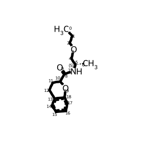 CCCOC[C@H](C)NC(=O)C1CCc2ccccc2O1